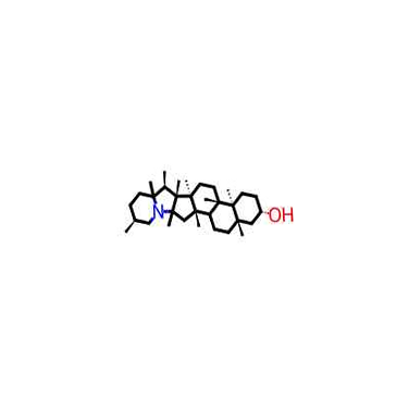 C[C@H]1CCC2(C)[C@@H](C)[C@@]3(C)C(C)(C[C@@]4(C)C5CC[C@@]6(C)C[C@@H](O)CC[C@]6(C)[C@@]5(C)CC[C@@]43C)N2C1